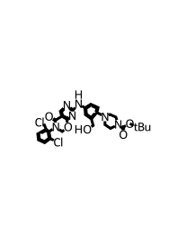 CC(C)(C)OC(=O)N1CCN(c2ccc(Nc3ncc4c(n3)OCN(c3c(Cl)cccc3Cl)C4=O)cc2CO)CC1